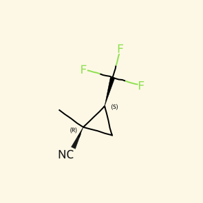 C[C@@]1(C#N)C[C@@H]1C(F)(F)F